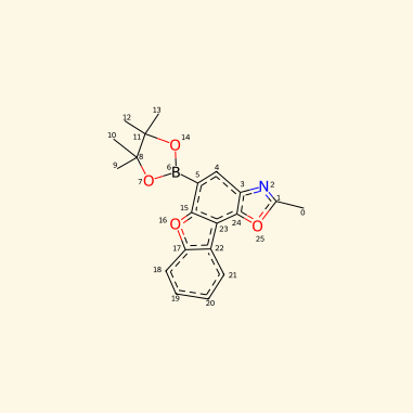 Cc1nc2cc(B3OC(C)(C)C(C)(C)O3)c3oc4ccccc4c3c2o1